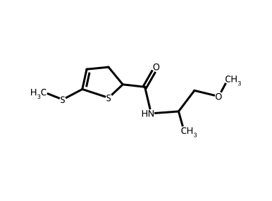 COCC(C)NC(=O)C1CC=C(SC)S1